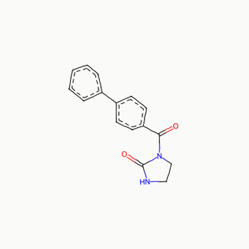 O=C1NCCN1C(=O)c1ccc(-c2ccccc2)cc1